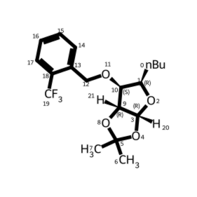 CCCC[C@H]1O[C@@H]2OC(C)(C)O[C@@H]2[C@H]1OCc1ccccc1C(F)(F)F